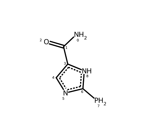 NC(=O)c1cnc(P)[nH]1